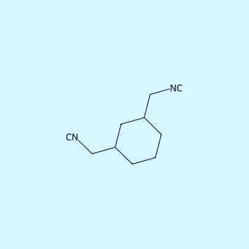 [C-]#[N+]CC1CCCC(C[N+]#[C-])C1